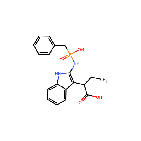 CCC(C(=O)O)c1c(NP(=O)(O)Cc2ccccc2)[nH]c2ccccc12